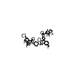 O=C(N[C@H]1CC[C@H](CN2C(=O)C3(CN(C(=O)c4cn5ccsc5n4)C3)c3ccc(F)cc32)CC1)c1cc(Cl)cnc1C(F)F